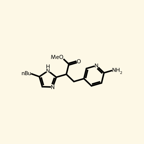 CCCCc1cnc(C(Cc2ccc(N)nc2)C(=O)OC)[nH]1